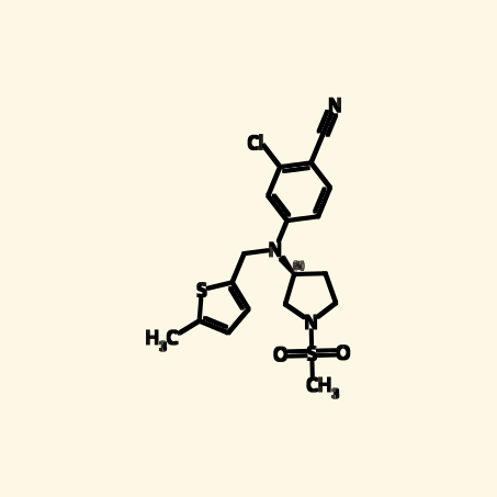 Cc1ccc(CN(c2ccc(C#N)c(Cl)c2)[C@H]2CCN(S(C)(=O)=O)C2)s1